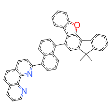 CC1(C)c2ccccc2-c2c1cc(-c1cccc3c(-c4ccc5ccc6cccnc6c5n4)cccc13)c1c2oc2ccccc21